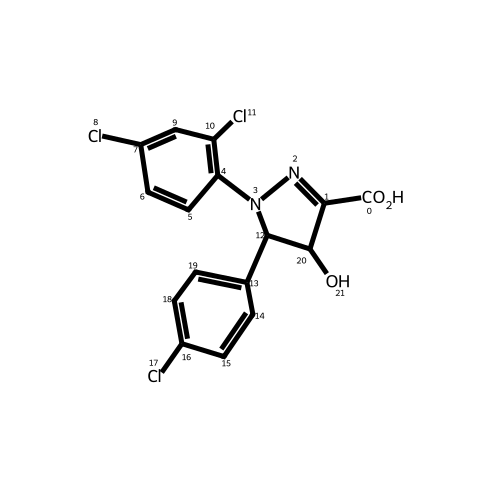 O=C(O)C1=NN(c2ccc(Cl)cc2Cl)C(c2ccc(Cl)cc2)C1O